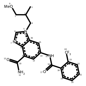 COCC(C)Cn1cnc2c(C(N)=O)cc(NC(=O)c3ccccc3C(F)(F)F)cc21